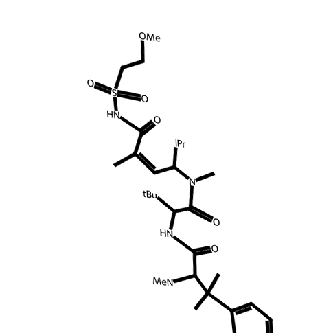 CNC(C(=O)NC(C(=O)N(C)C(C=C(C)C(=O)NS(=O)(=O)CCOC)C(C)C)C(C)(C)C)C(C)(C)c1ccccc1